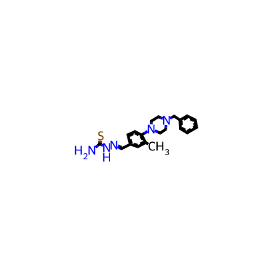 Cc1cc(/C=N/NC(N)=S)ccc1N1CCN(Cc2ccccc2)CC1